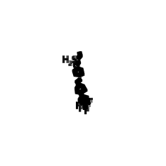 CC[SiH2]CO[C@H]1CC[C@H](CCC2CCC(c3cc(F)c(C(F)(F)F)c(F)c3)CC2)CC1